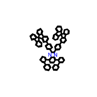 C1=CC2=C(CC1)C1(C3=C(C=CCC3)c3ccc(-c4ccc(-c5nc6c(-c7ccccc7-c7ccccc7)ccc(-c7ccccc7-c7ccccc7)c6nc5-c5ccc(-c6ccc7c(c6)C6(c8ccccc8-c8ccccc86)c6ccccc6-7)cc5)cc4)cc31)c1ccccc12